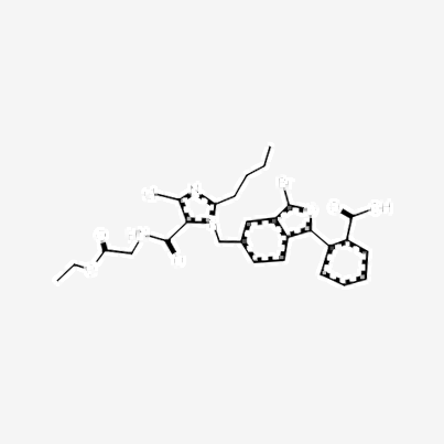 CCCCc1nc(Cl)c(C(=O)NCC(=O)OCC)n1Cc1ccc2c(-c3ccccc3C(=O)O)oc(Br)c2c1